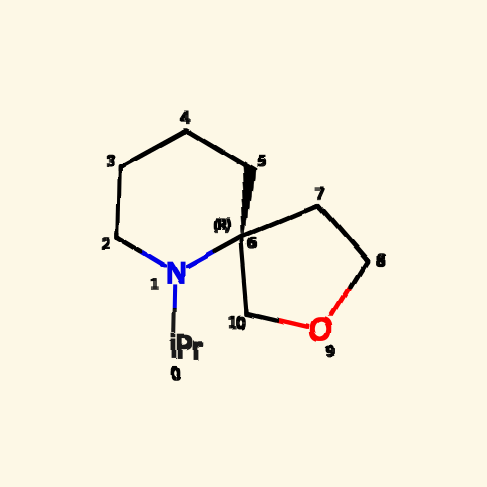 CC(C)N1CCCC[C@]12CCOC2